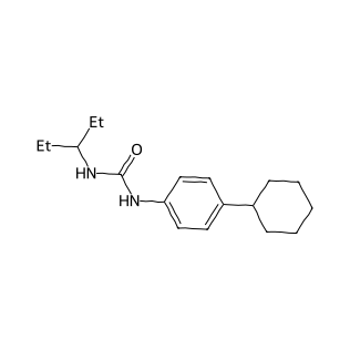 CCC(CC)NC(=O)Nc1ccc(C2CCCCC2)cc1